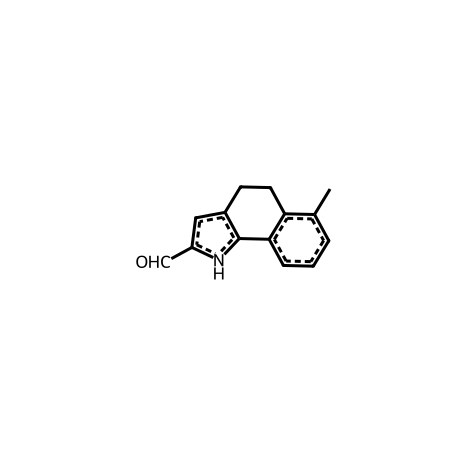 Cc1cccc2c1CCc1cc(C=O)[nH]c1-2